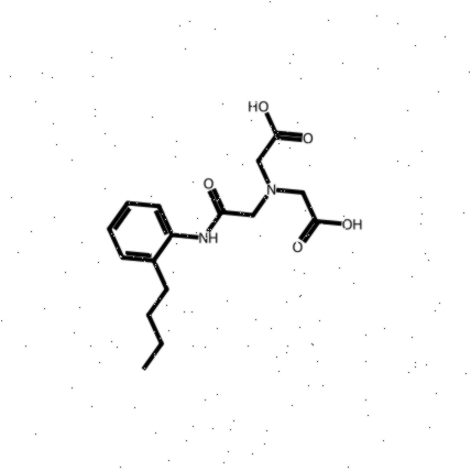 CCCCc1ccccc1NC(=O)CN(CC(=O)O)CC(=O)O